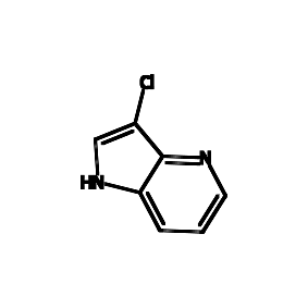 Clc1c[nH]c2cccnc12